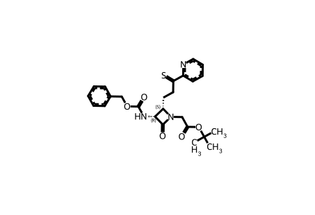 CC(C)(C)OC(=O)CN1C(=O)[C@H](NC(=O)OCc2ccccc2)[C@@H]1CCC(=S)c1ccccn1